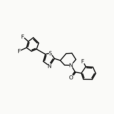 O=C(c1ccccc1F)N1CCCC(c2ncc(-c3ccc(F)c(F)c3)s2)C1